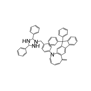 C=C1/C=C\C=C/N(c2ccc(CN3NC(c4ccccc4)NC3c3ccccc3)cc2)c2cc3c(cc21)-c1ccccc1C3(c1ccccc1)c1ccccc1